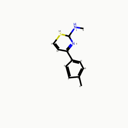 CNC1N=C(c2ccc(C)cc2)C=CS1